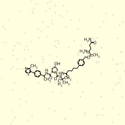 Cc1ncsc1-c1ccc([C@H](C)NC(=O)[C@@H]2C[C@H](O)CN2C(=O)[C@@H](NC(=O)CCCCc2ccc(CO[C@H](C)[C@@H](N)CCC(N)=O)cc2)C(C)(C)C)cc1